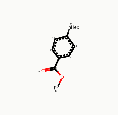 CCCCCCc1ccc(C(=O)OC(C)C)cc1